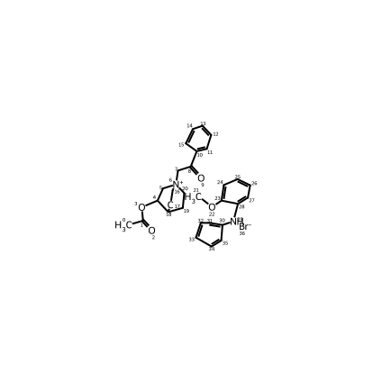 CC(=O)OC1C[N+]2(CC(=O)c3ccccc3)CCC1CC2.COc1ccccc1Nc1ccccc1.[Br-]